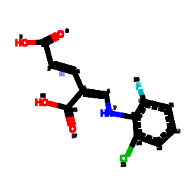 O=C(O)/C=C/C(=CNc1c(F)cccc1Cl)C(=O)O